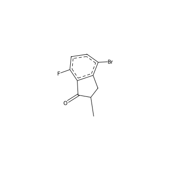 CC1Cc2c(Br)ccc(F)c2C1=O